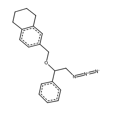 [N-]=[N+]=NCC(OCc1ccc2c(c1)CCCC2)c1ccccc1